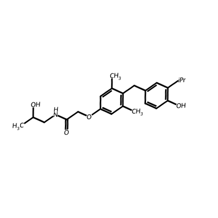 Cc1cc(OCC(=O)NCC(C)O)cc(C)c1Cc1ccc(O)c(C(C)C)c1